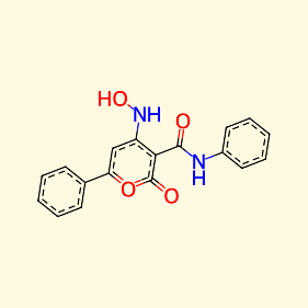 O=C(Nc1ccccc1)c1c(NO)cc(-c2ccccc2)oc1=O